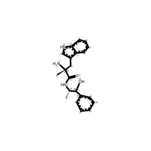 C[C@H](NC(=O)[C@](C)(N)Cc1c[nH]c2ccccc12)C(O)c1ccccc1